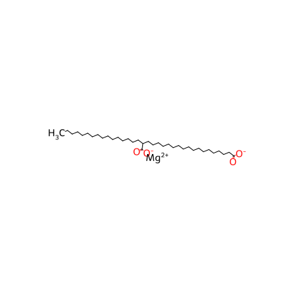 CCCCCCCCCCCCCCCCC(CCCCCCCCCCCCCCCCCC(=O)[O-])C(=O)[O-].[Mg+2]